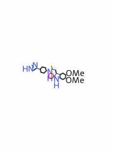 COc1cc2c(cc1OC)C(=CC(C)Nc1ccc(-c3c[nH]cn3)cc1)C(=O)N2